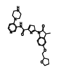 CC1C(=O)N(C2=NC(C(=O)Nc3cnccc3N3CCNCC3)=CC2)c2ccc(OCC3CCCO3)cc21